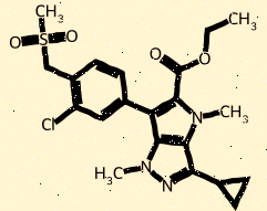 CCOC(=O)c1c(-c2ccc(CS(C)(=O)=O)c(Cl)c2)c2c(c(C3CC3)nn2C)n1C